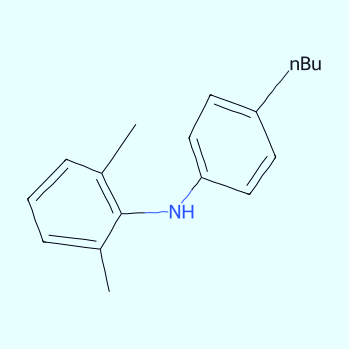 CCCCc1ccc(Nc2c(C)cccc2C)cc1